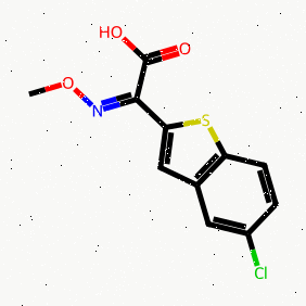 CON=C(C(=O)O)c1cc2cc(Cl)ccc2s1